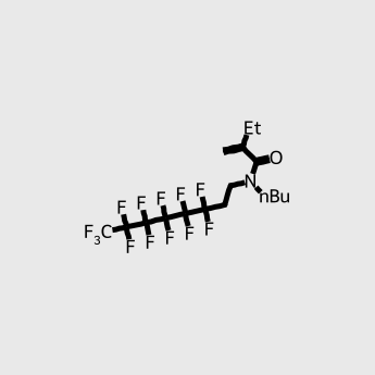 C=C(CC)C(=O)N(CCCC)CCC(F)(F)C(F)(F)C(F)(F)C(F)(F)C(F)(F)C(F)(F)F